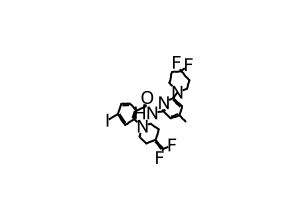 Cc1cc(NC(=O)c2ccc(I)cc2N2CCC(=C(F)F)CC2)nc(N2CCC(F)(F)CC2)c1